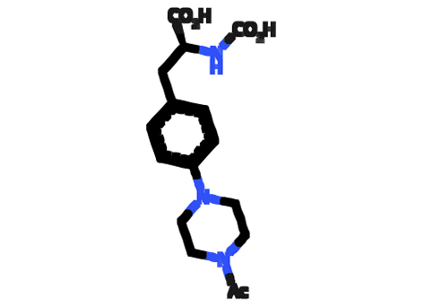 CC(=O)N1CCN(c2ccc(C[C@H](NC(=O)O)C(=O)O)cc2)CC1